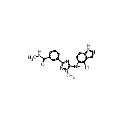 CNC(=O)c1cccc(-c2nc(Nc3ccc4[nH]ncc4c3Cl)n(C)n2)c1